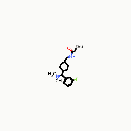 CN(C)C(c1cccc(F)c1)C1CCC(CNC(=O)CC(C)(C)C)CC1